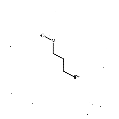 CC(C)CCC[N][O]